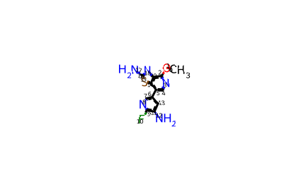 COc1ncc(-c2cnc(F)c(N)c2)c2sc(N)nc12